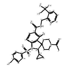 CC(=O)N1CCC2(CC1)c1c(ccc(C(=O)NCc3ncccc3C(F)(F)F)c1Cl)N(S(=O)(=O)c1ccc(F)cc1)C2C1CC1